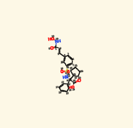 O=C(C=Cc1cccc(S(=O)(=O)N[C@](C(=O)O)(c2ccccc2)C2CCCC2)c1)NO